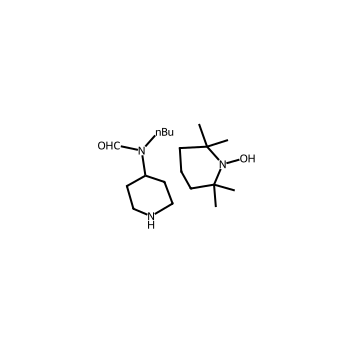 CC1(C)CCCC(C)(C)N1O.CCCCN(C=O)C1CCNCC1